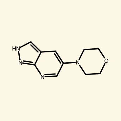 c1nc2n[nH]cc2cc1N1CCOCC1